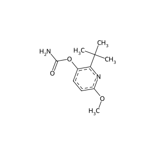 COc1ccc(OC(N)=O)c(C(C)(C)C)n1